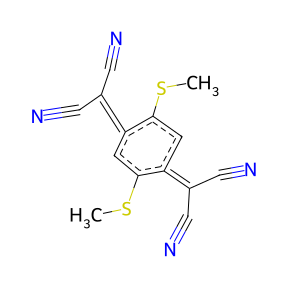 CSc1cc(=C(C#N)C#N)c(SC)cc1=C(C#N)C#N